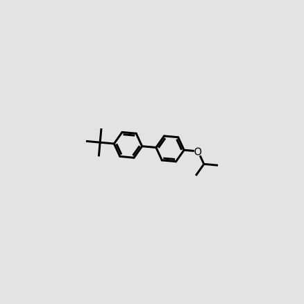 CC(C)Oc1ccc(-c2ccc(C(C)(C)C)cc2)cc1